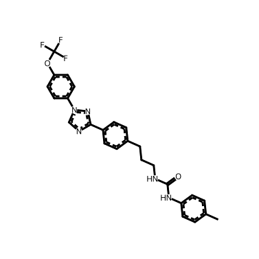 Cc1ccc(NC(=O)NCCCc2ccc(-c3ncn(-c4ccc(OC(F)(F)F)cc4)n3)cc2)cc1